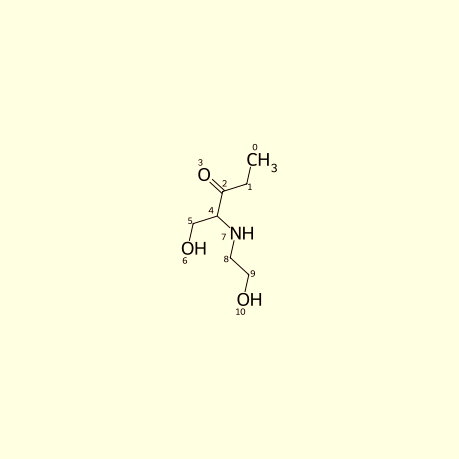 CCC(=O)C(CO)NCCO